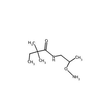 CCC(C)(C)C(=O)NCC(C)ON